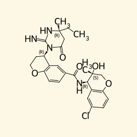 CC[C@]1(C)CC(=O)N([C@@H]2CCOc3ccc(C(=O)N[C@@H]4c5cc(Cl)ccc5OC[C@@]4(C)O)cc32)C(=N)N1